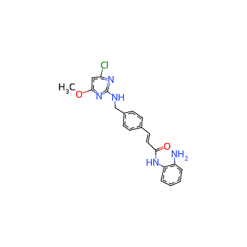 COc1cc(Cl)nc(NCc2ccc(C=CC(=O)Nc3ccccc3N)cc2)n1